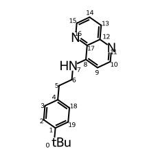 CC(C)(C)c1ccc(CCNc2ccnc3cccnc23)cc1